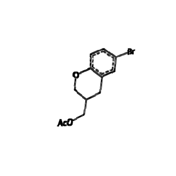 CC(=O)OCC1COc2ccc(Br)cc2C1